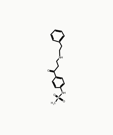 CS(=O)(=O)Nc1ccc(C(=O)CCNCCc2ccccc2)cc1